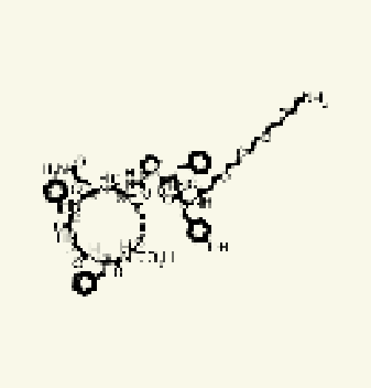 C[C@@H]1NC(=O)[C@H](Cc2ccccc2)NC(=O)[C@H](CCC(N)=O)NC(=O)[C@H](NC(=O)[C@@H]2CCCN2C(=O)[C@H](Cc2ccccc2)NC(=O)[C@H](Cc2ccc(O)cc2)NC(=O)CCOCCOCCOCCOCCN)CCSSC[C@@H](C(=O)O)NC(=O)[C@H](Cc2ccccc2)NC1=O